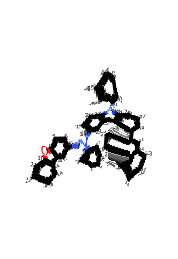 c1ccc(N(c2ccc3oc4ccccc4c3c2)c2ccc3c(c2)c2c(-c4ccc5ccccc5c4)cccc2n3-c2ccccc2)cc1